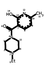 CCN1CCN(C(=O)c2ccc(C)nc2O)CC1